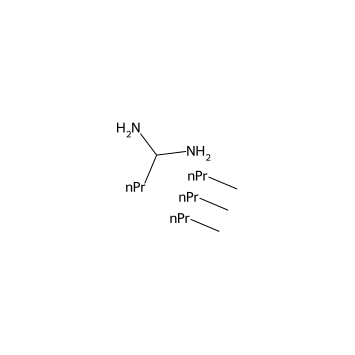 CCCC.CCCC.CCCC.CCCC(N)N